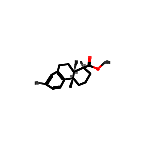 CCCCOC(=O)[C@@]1(C)CCC[C@]2(C)c3ccc(C(C)C)cc3CC[C@@H]12